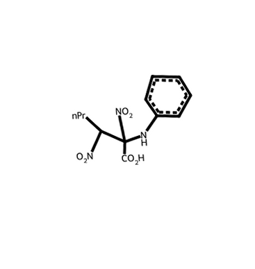 CCCC([N+](=O)[O-])C(Nc1ccccc1)(C(=O)O)[N+](=O)[O-]